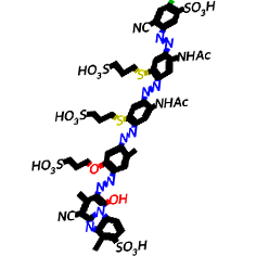 CC(=O)Nc1cc(N=Nc2cc(SCCCS(=O)(=O)O)c(N=Nc3cc(OCCCS(=O)(=O)O)c(N=Nc4c(C)c(C#N)c5nc6c(C)c(S(=O)(=O)O)ccc6n5c4O)cc3C)cc2NC(C)=O)c(SCCCS(=O)(=O)O)cc1N=Nc1cc(S(=O)(=O)O)c(Cl)cc1C#N